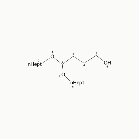 CCCCCCCOC(CCCO)OCCCCCCC